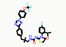 CC(C)c1cc(F)ccc1N1C(=O)CS/C1=N\C(=O)NCC(C)(C)Cc1ccc(-c2ncn(-c3ccc(OC(F)(F)F)cc3)n2)cc1